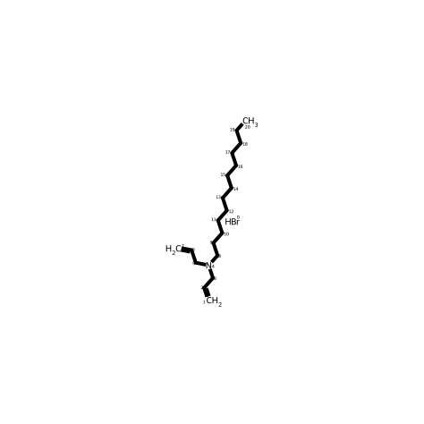 Br.C=CCN(CC=C)CCCCCCCCCCCCC